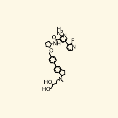 CN(CCC(O)CO)C1CCc2cc(-c3ccc(CO[C@H]4CCC[C@@H]4NC(=O)c4cc(-c5cccnc5F)cnc4N)cc3)ccc21